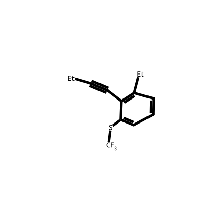 CCC#Cc1c(CC)cccc1SC(F)(F)F